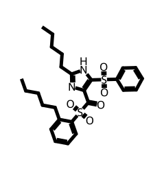 CCCCCc1nc(C(=O)S(=O)(=O)c2ccccc2CCCCC)c(S(=O)(=O)c2ccccc2)[nH]1